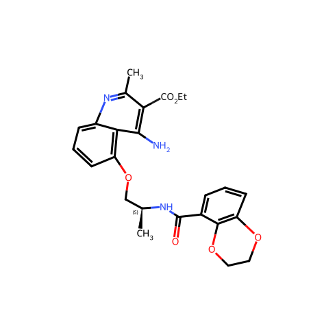 CCOC(=O)c1c(C)nc2cccc(OC[C@H](C)NC(=O)c3cccc4c3OCCO4)c2c1N